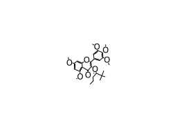 CCC[C](Oc1c(-c2cc(OC)c(OC)c(OC)c2)oc2cc(OC)cc(OC)c2c1=O)C(C)(C)C